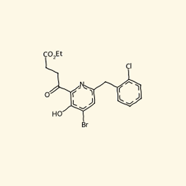 CCOC(=O)CCC(=O)c1nc(Cc2ccccc2Cl)cc(Br)c1O